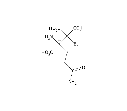 CCC(C(=O)O)(C(=O)O)[C@](N)(CCC(N)=O)C(=O)O